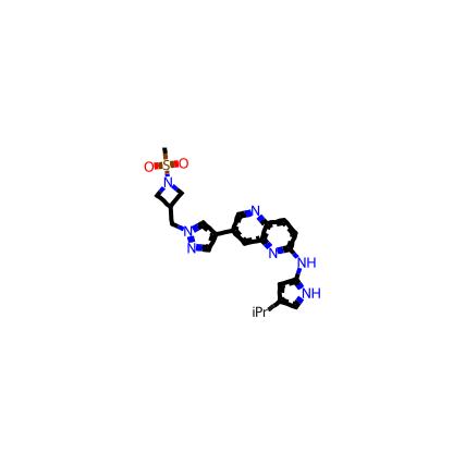 CC(C)c1c[nH]c(Nc2ccc3ncc(-c4cnn(CC5CN(S(C)(=O)=O)C5)c4)cc3n2)c1